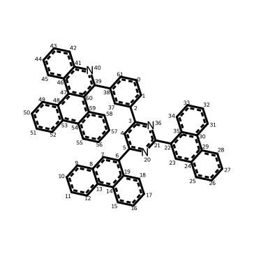 c1cc(-c2cc(-c3cc4ccccc4c4ccccc34)nc(-c3cc4ccccc4c4ccccc34)n2)cc(-c2nc3ccccc3c3c4ccccc4c4ccccc4c23)c1